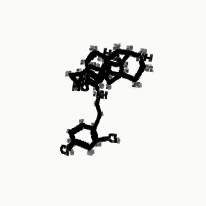 O=C(NCCc1ccc(Cl)cc1Cl)C1(CC2CC2)CC23CCNC(Cc4ccc(O)cc42)C3(O)C1